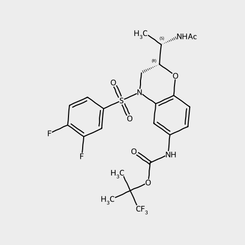 CC(=O)N[C@@H](C)[C@H]1CN(S(=O)(=O)c2ccc(F)c(F)c2)c2cc(NC(=O)OC(C)(C)C(F)(F)F)ccc2O1